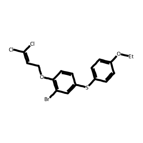 CCOc1ccc(Sc2ccc(OCC=C(Cl)Cl)c(Br)c2)cc1